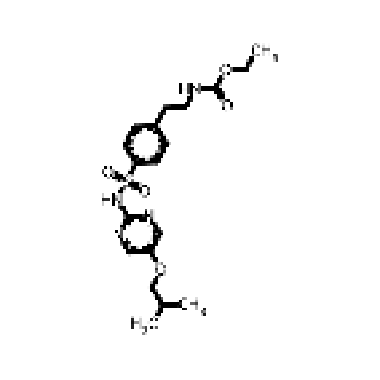 CCOC(=O)NCCc1ccc(S(=O)(=O)Nc2ncc(OCC(C)C)cn2)cc1